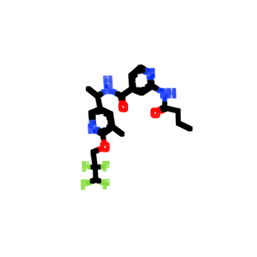 CCCC(=O)Nc1cc(C(=O)NC(C)c2cnc(OCC(F)(F)C(F)F)c(C)c2)ccn1